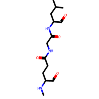 CNC(C=O)CCC(=O)NCC(=O)NC(C=O)CC(C)C